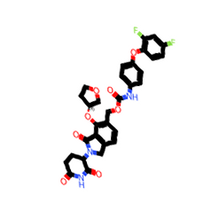 O=C1CCC(N2Cc3ccc(COC(=O)Nc4ccc(Oc5ccc(F)cc5F)cc4)c(O[C@@H]4CCOC4)c3C2=O)C(=O)N1